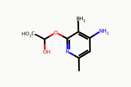 Bc1c(N)cc(C)nc1OC(O)C(=O)O